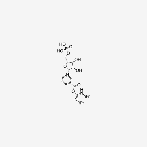 CC(C)/N=C(\NC(C)C)OC(=O)c1ccc[n+]([C@@H]2O[C@H](COP(=O)(O)O)[C@@H](O)[C@H]2O)c1